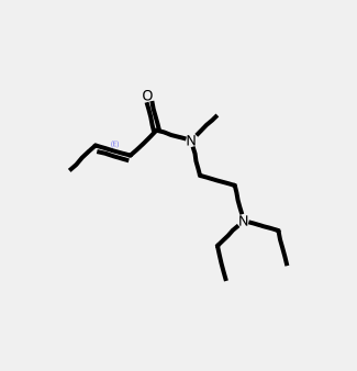 C/C=C/C(=O)N(C)CCN(CC)CC